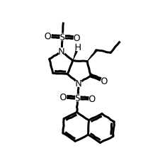 CCC[C@H]1C(=O)N(S(=O)(=O)c2cccc3ccccc23)C2=CCN(S(C)(=O)=O)[C@@H]21